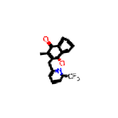 CC1=C(Cc2cccc(C(F)(F)F)n2)C(=O)c2ccccc2C1=O